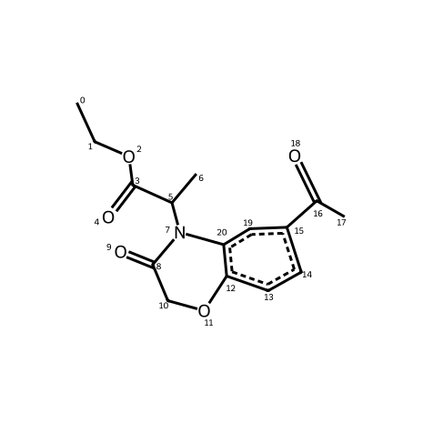 CCOC(=O)C(C)N1C(=O)COc2ccc(C(C)=O)cc21